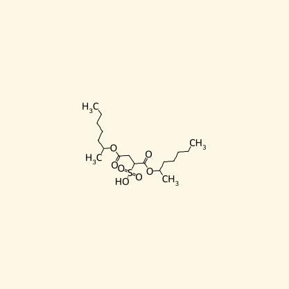 CCCCCC(C)OC(=O)CC(C(=O)OC(C)CCCCC)S(=O)(=O)O